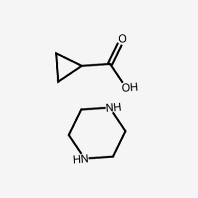 C1CNCCN1.O=C(O)C1CC1